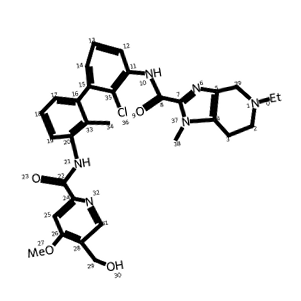 CCN1CCc2c(nc(C(=O)Nc3cccc(-c4cccc(NC(=O)c5cc(OC)c(CO)cn5)c4C)c3Cl)n2C)C1